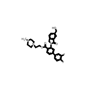 CN1CCN(CCOC(=O)c2ccc(-c3ccc(F)c(F)c3)cc2N2Cc3ccc(CO)cc3C2=O)CC1